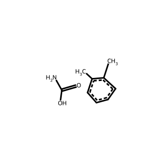 Cc1ccccc1C.NC(=O)O